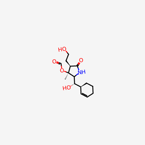 C[C@@]1(OC=O)C([C@@H](O)[C@@H]2C=CCCC2)NC(=O)[C@@H]1CCO